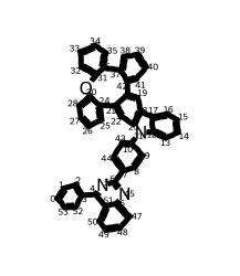 c1ccc(-c2nc(-c3ccc(-n4c5ccccc5c5cc6c(cc54)c4ccccc4oc4ccccc4c4ccccc46)cc3)nc3ccccc23)cc1